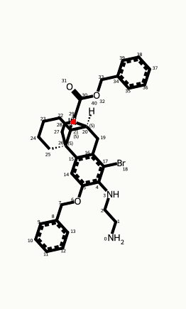 NCCNc1c(OCc2ccccc2)cc2c(c1Br)C[C@H]1[C@H]3CCCC[C@@]23CCN1C(=O)OCc1ccccc1